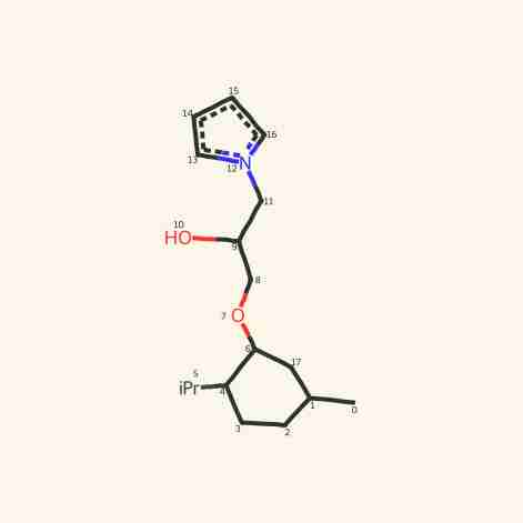 CC1CCC(C(C)C)C(OCC(O)Cn2cccc2)C1